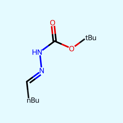 CCCCC=NNC(=O)OC(C)(C)C